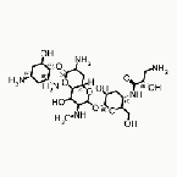 CNC1C(O[C@H]2OC(CO)[C@@H](NC(=O)[C@@H](O)CN)CC2O)O[C@H]2CC(N)[C@@H](O[C@H]3C(O)C[C@H](N)C[C@H]3N)OC2C1O